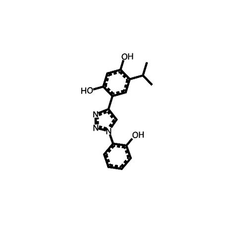 CC(C)c1cc(-c2cn(-c3ccccc3O)nn2)c(O)cc1O